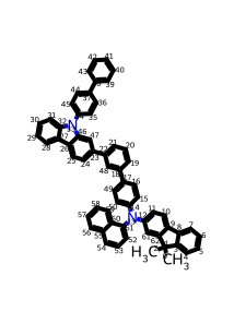 CC1(C)c2ccccc2-c2ccc(N(c3ccc(-c4cccc(-c5ccc6c7ccccc7n(-c7ccc(-c8ccccc8)cc7)c6c5)c4)cc3)c3cccc4ccccc34)cc21